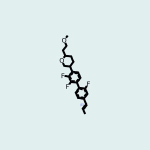 C/C=C/c1ccc(-c2ccc(C3CCC(CCOC)OC3)c(F)c2F)c(F)c1